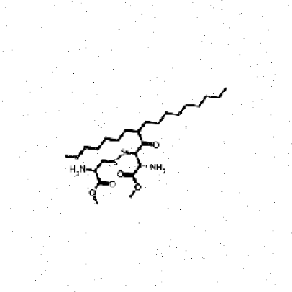 CCCCCCCCCC(CCCCCCC)C(=O)C(SSC[C@H](N)C(=O)OC)[C@H](N)C(=O)OC